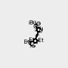 CCc1cc2c(cc1C#Cc1cncc(OC(=O)C(C)CC)c1)C(CC)(CC)CCS2